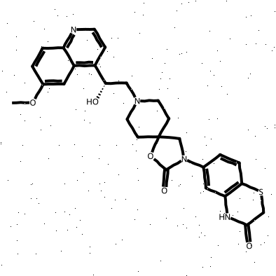 COc1ccc2nccc([C@@H](O)CN3CCC4(CC3)CN(c3ccc5c(c3)NC(=O)CS5)C(=O)O4)c2c1